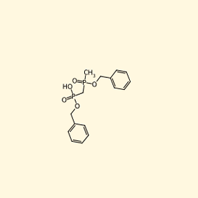 CP(=O)(CP(=O)(O)OCc1ccccc1)OCc1ccccc1